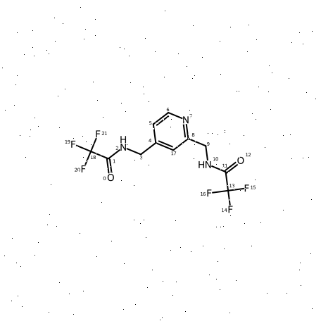 O=C(NCc1ccnc(CNC(=O)C(F)(F)F)c1)C(F)(F)F